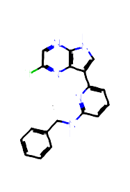 C[C@H](Nc1cccc(-c2c[nH]c3ncc(Cl)nc23)n1)c1ccccc1